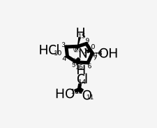 CN1[C@@H]2CC[C@H]1C[C@@H](O)C2.Cl.O=C(O)Cl